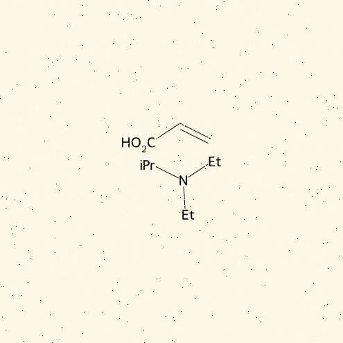 C=CC(=O)O.CCN(CC)C(C)C